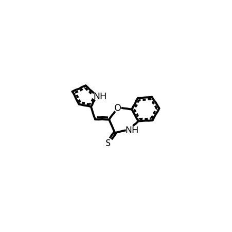 S=C1Nc2ccccc2OC1=Cc1ccc[nH]1